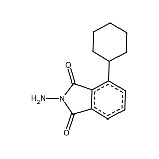 NN1C(=O)c2cccc(C3CCCCC3)c2C1=O